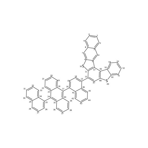 c1ccc2cc3c(cc2c1)sc1c(-c2ccc(-c4c5ccccc5c(-c5cccc6ccccc56)c5ccccc45)c4ccccc24)cc2sc4ccccc4c2c13